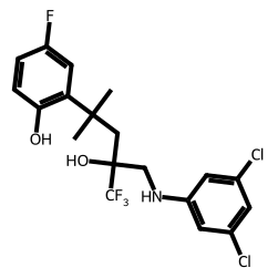 CC(C)(CC(O)(CNc1cc(Cl)cc(Cl)c1)C(F)(F)F)c1cc(F)ccc1O